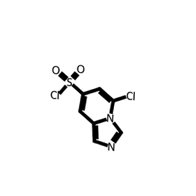 O=S(=O)(Cl)c1cc(Cl)n2cncc2c1